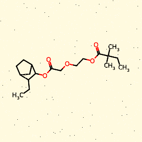 CCC1C2CCC(C2)C1OC(=O)COCCOC(=O)C(C)(C)CC